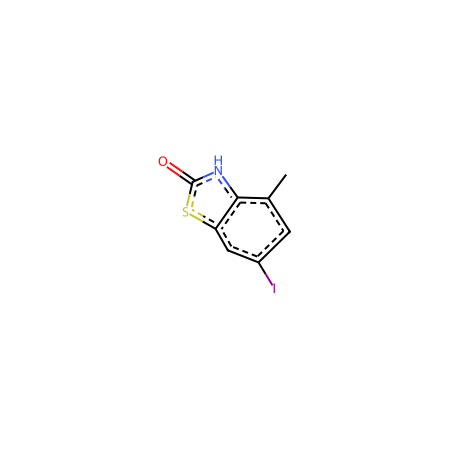 Cc1cc(I)cc2sc(=O)[nH]c12